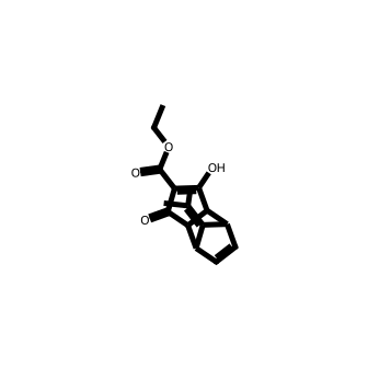 CCOC(=O)C1=C(O)C2C3C=CC(C3=C(C)C)C2C1=O